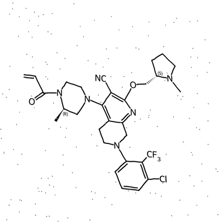 C=CC(=O)N1CCN(c2c(C#N)c(OC[C@@H]3CCCN3C)nc3c2CCN(c2cccc(Cl)c2C(F)(F)F)C3)C[C@H]1C